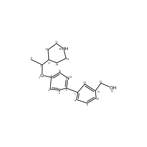 CC(Oc1cnc(-c2cccc(CO)c2)nc1)C1CCNCC1